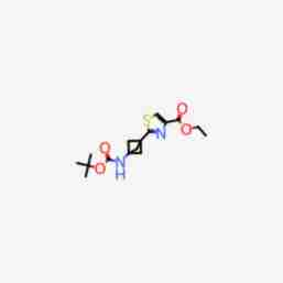 CCOC(=O)c1csc(C23CC(NC(=O)OC(C)(C)C)(C2)C3)n1